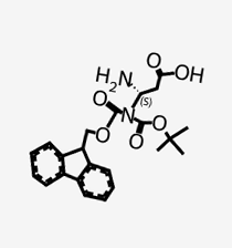 CC(C)(C)OC(=O)N(C(=O)OCC1c2ccccc2-c2ccccc21)[C@H](N)CC(=O)O